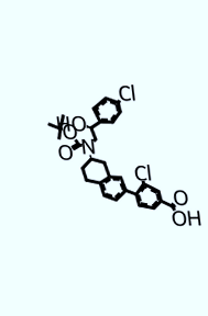 CC(C)(C)OC(=O)N(C[C@@H](O)c1ccc(Cl)cc1)[C@H]1CCc2ccc(-c3ccc(C(=O)O)cc3Cl)cc2C1